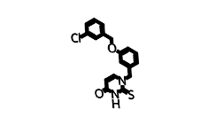 O=c1ccn(Cc2cccc(OCc3cccc(Cl)c3)c2)c(=S)[nH]1